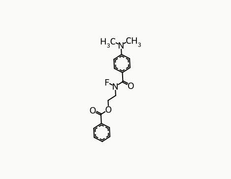 CN(C)c1ccc(C(=O)N(F)CCOC(=O)c2ccccc2)cc1